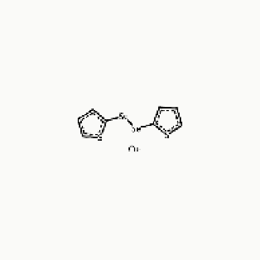 [Cu].c1csc([Se][Se]c2cccs2)c1